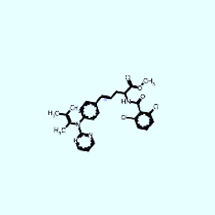 COC(=O)C(C/C=C/c1ccc(N(C(C)=C(C)C)c2ncccn2)cc1)NC(=O)c1c(Cl)cccc1Cl